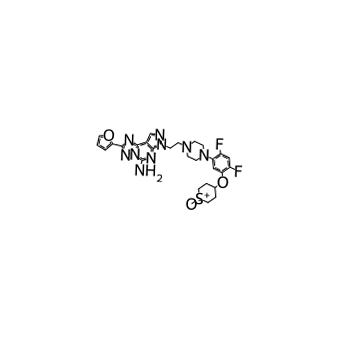 Nc1nc2c(cnn2CCN2CCN(c3cc(OC4CC[S+]([O-])CC4)c(F)cc3F)CC2)c2nc(-c3ccco3)nn12